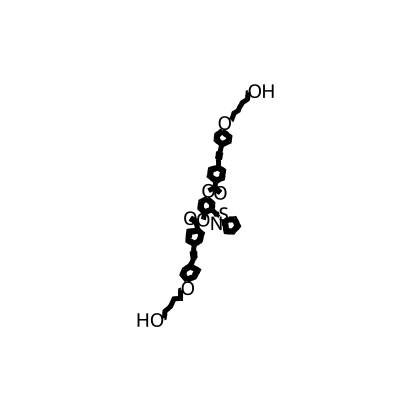 O=C(Oc1ccc(OC(=O)c2ccc(C#Cc3ccc(OCCCCCCO)cc3)cc2)c(-c2nc3ccccc3s2)c1)c1ccc(C#Cc2ccc(OCCCCCCO)cc2)cc1